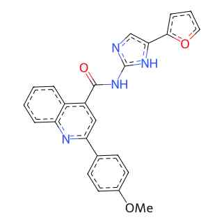 COc1ccc(-c2cc(C(=O)Nc3ncc(-c4ccco4)[nH]3)c3ccccc3n2)cc1